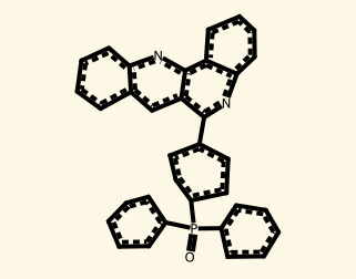 O=P(c1ccccc1)(c1ccccc1)c1ccc(-c2nc3ccccc3c3nc4ccccc4cc23)cc1